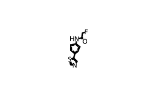 O=C(CF)Nc1ccc(-c2cncs2)cc1